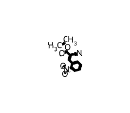 CC(C)OC(=O)/C(C#N)=C/c1ccccc1[N+](=O)[O-]